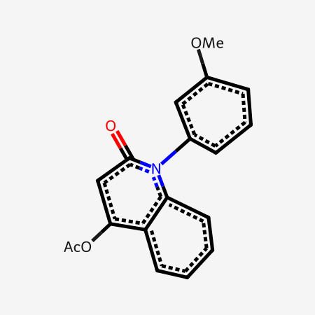 COc1cccc(-n2c(=O)cc(OC(C)=O)c3ccccc32)c1